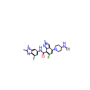 CCNC1CCN(c2cc(F)c(C(=O)Nc3cc(F)c4nc(C)n(C)c4c3)c3nn(C)cc23)CC1